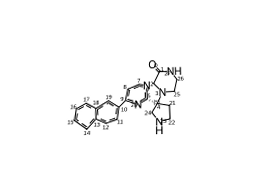 O=C1CN([C@@]2(c3nccc(-c4ccc5ccccc5c4)n3)CCNC2)CCN1